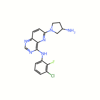 NC1CCN(c2ccc3ncnc(Nc4cccc(Cl)c4F)c3n2)C1